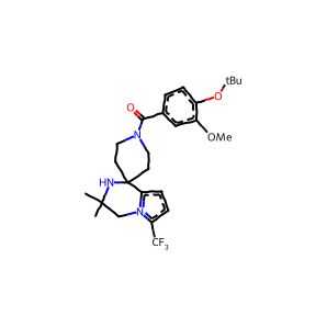 COc1cc(C(=O)N2CCC3(CC2)NC(C)(C)Cn2c(C(F)(F)F)ccc23)ccc1OC(C)(C)C